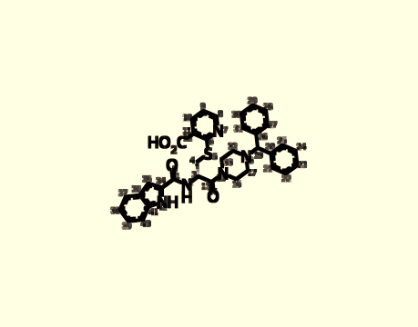 O=C(N[C@H](CSc1ncccc1C(=O)O)C(=O)N1CCN(C(c2ccccc2)c2ccccc2)CC1)c1cc2ccccc2[nH]1